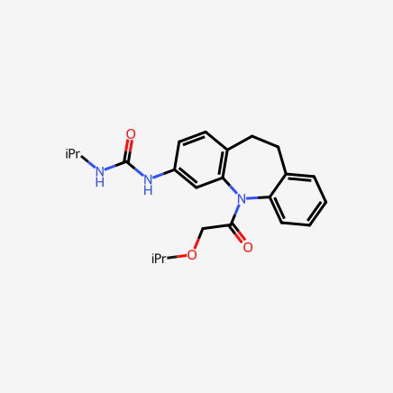 CC(C)NC(=O)Nc1ccc2c(c1)N(C(=O)COC(C)C)c1ccccc1CC2